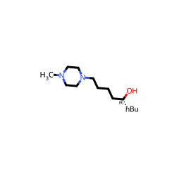 CCCC[C@@H](O)CCCCN1CCN(C)CC1